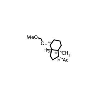 COCO[C@@H]1CCC[C@]2(C)[C@@H]1CC[C@H]2C(C)=O